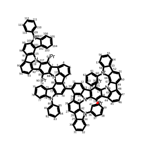 CC(C)c1c2c3cccc4c5c(-c6ccc7c8c(C(C)C)c9c(c(C(C)C)c8n8c7c6c6ccc7c%10ccccc%10n(-c%10ccccc%10)c7c68)c6cccc7c8ccc%10c%11ccccc%11n(-c%11ccccc%11)c%10c8n9c76)cc6c(c7ccccc7n6-c6ccccc6)c5n(c2c(C(C)C)c2c5cccc6c7ccc8c(c9ccccc9n8-c8ccccc8)c7n(c12)c65)c34